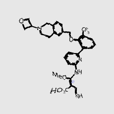 CO/C(Nc1cccc(-c2cccc(C(F)(F)F)c2OCc2ccc3c(c2)CCN(C2COC2)C3)n1)=C(/C=N)C(=O)O